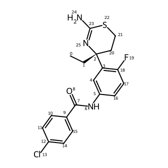 CC[C@]1(c2cc(NC(=O)c3ccc(Cl)cc3)ccc2F)CCSC(N)=N1